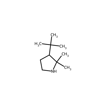 CC(C)(C)C1CCNC1(C)C